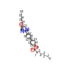 CCCCCC[C@H](C)C(=O)Oc1ccc(-c2ccc(-c3ncc(OCCCCC)cn3)cc2)cc1